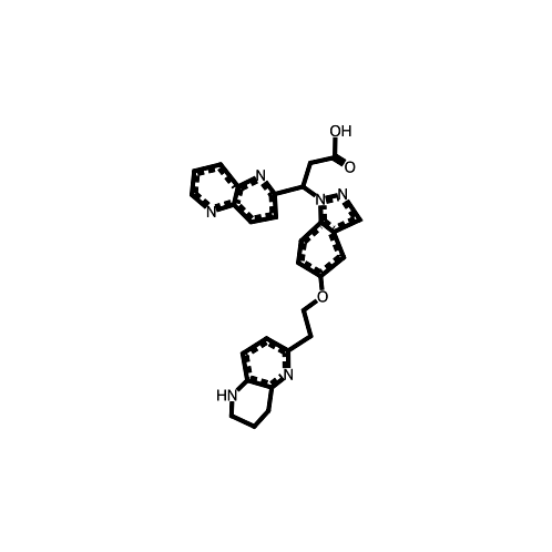 O=C(O)CC(c1ccc2ncccc2n1)n1ncc2cc(OCCc3ccc4c(n3)CCCN4)ccc21